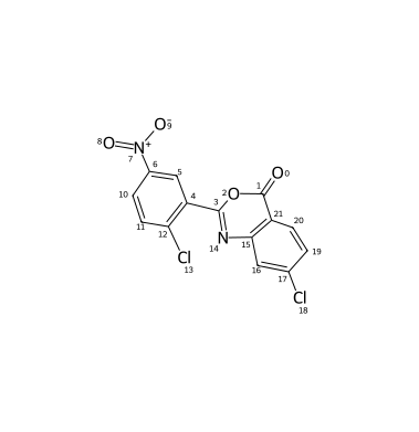 O=c1oc(-c2cc([N+](=O)[O-])ccc2Cl)nc2cc(Cl)ccc12